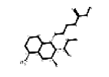 C=C(CC)CCCC[C@H]1C2CCC[C@H](O)C2C[C@H](C)[C@H]1C(C)CC